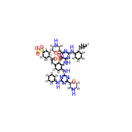 O=S(=O)([O-])c1ccc(C=Cc2ccc(Nc3nc(Nc4ccccc4)nc(C4CNCCO4)n3)c(Nc3nc(Nc4ccccc4)nc(C4CNCCO4)n3)c2S(=O)(=O)[O-])cc1.[Na+].[Na+]